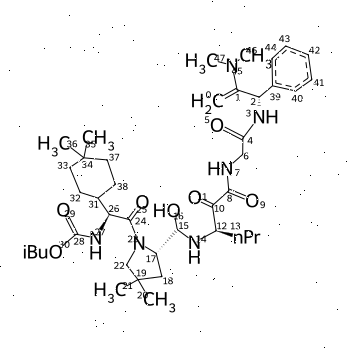 C=C([C@@H](NC(=O)CNC(=O)C(=O)[C@@H](CCC)NC(O)[C@@H]1CC(C)(C)CN1C(=O)[C@@H](NC(=O)OCC(C)C)C1CCC(C)(C)CC1)c1ccccc1)N(C)C